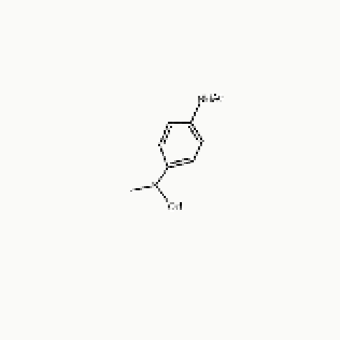 CB(O)c1ccc(NC(C)=O)cc1